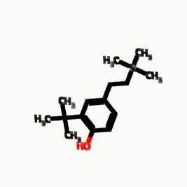 CC(C)(C)c1cc(CC[Si](C)(C)C)ccc1O